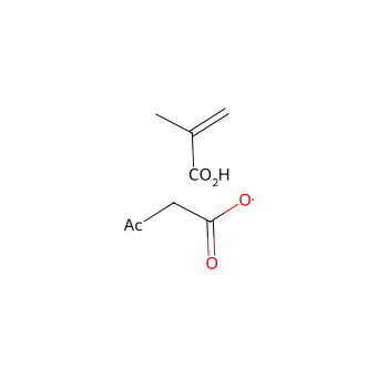 C=C(C)C(=O)O.CC(=O)CC([O])=O